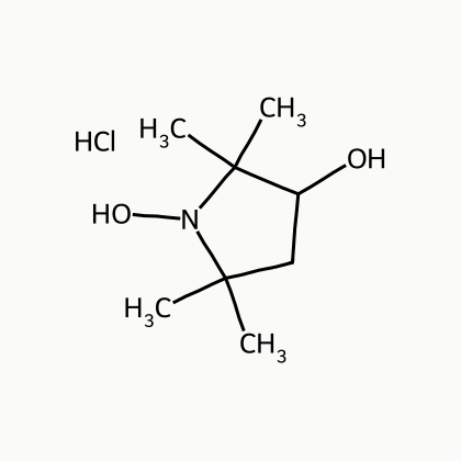 CC1(C)CC(O)C(C)(C)N1O.Cl